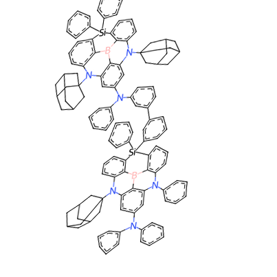 c1ccc(N(c2ccccc2)c2cc3c4c(c2)N(C25CC6CC(CC(C6)C2)C5)c2cccc5c2B4c2c(cccc2[Si]5(c2ccccc2)c2cccc(-c4cccc(N(c5ccccc5)c5cc6c7c(c5)N(C58CC9CC(CC(C9)C5)C8)c5cccc8c5B7c5c(cccc5[Si]8(c5ccccc5)c5ccccc5)N6C56CC7CC(CC(C7)C5)C6)c4)c2)N3c2ccccc2)cc1